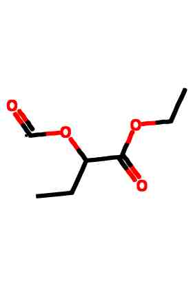 CCOC(=O)C(CC)O[C]=O